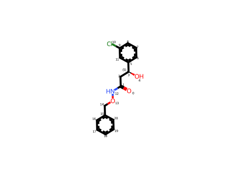 O=C(C[C@H](O)c1cccc(Cl)c1)NOCc1ccccc1